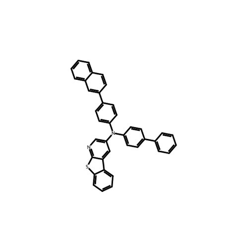 c1ccc(-c2ccc(N(c3ccc(-c4ccc5ccccc5c4)cc3)c3cnc4sc5ccccc5c4c3)cc2)cc1